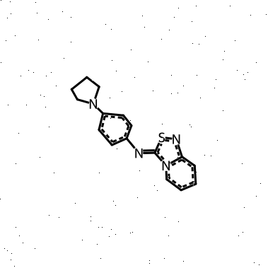 c1ccn2c(=Nc3ccc(N4CCCC4)cc3)snc2c1